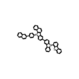 c1ccc2cc(-c3ccc(-n4c5ccc(-c6ccc7c(c6)c6ccccc6n7-c6cccc7c6sc6ccccc67)cc5c5ccc6ccccc6c54)cc3)ccc2c1